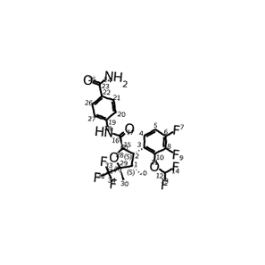 C[C@H]1[C@@H](c2ccc(F)c(F)c2OC(F)F)[C@H](C(=O)Nc2ccc(C(N)=O)cc2)O[C@@]1(C)C(F)(F)F